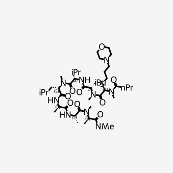 CCCC(=O)N(C)[C@H](SCCCN1CCOCC1)C(=O)N(C)[C@H](C(=O)N[C@H](C(=O)N(C)[C@@H](CC(C)C)C(=O)N[C@H](C)C(=O)N[C@@H](C)C(=O)N(C)[C@H](C)C(=O)NC)C(C)C)C(C)CC